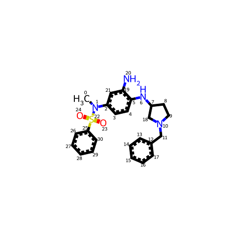 CN(c1ccc(NC2CCN(Cc3ccccc3)C2)c(N)c1)S(=O)(=O)c1ccccc1